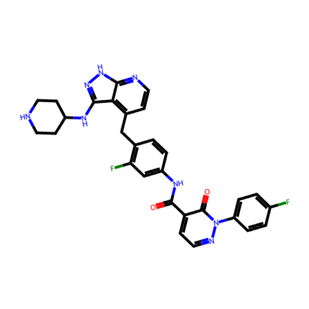 O=C(Nc1ccc(Cc2ccnc3[nH]nc(NC4CCNCC4)c23)c(F)c1)c1ccnn(-c2ccc(F)cc2)c1=O